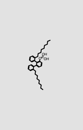 CCCCCCCCCc1ccccc1-c1cccc(OP(O)O)c1-c1ccccc1CCCCCCCCC